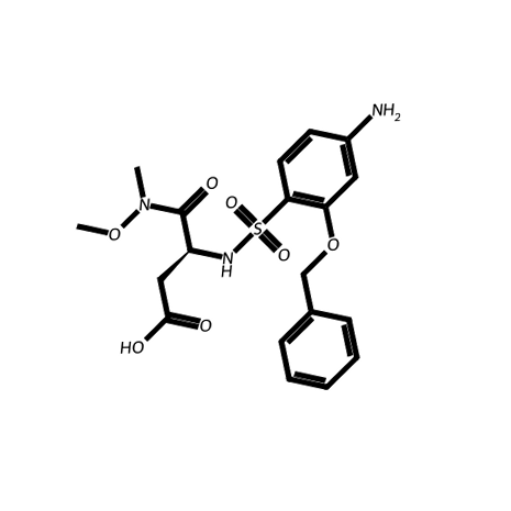 CON(C)C(=O)[C@H](CC(=O)O)NS(=O)(=O)c1ccc(N)cc1OCc1ccccc1